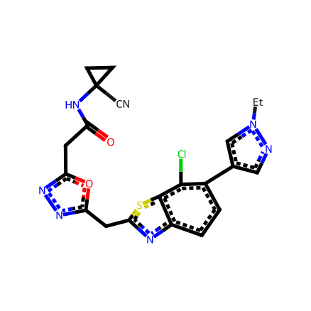 CCn1cc(-c2ccc3nc(Cc4nnc(CC(=O)NC5(C#N)CC5)o4)sc3c2Cl)cn1